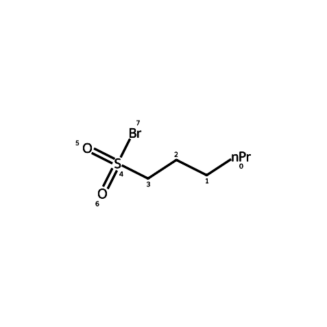 CCCCCCS(=O)(=O)Br